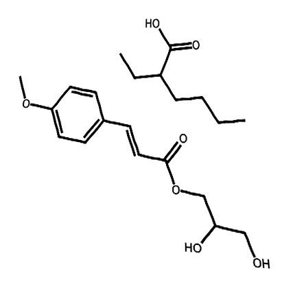 CCCCC(CC)C(=O)O.COc1ccc(C=CC(=O)OCC(O)CO)cc1